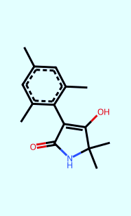 Cc1cc(C)c(C2=C(O)C(C)(C)NC2=O)c(C)c1